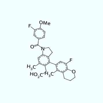 COc1ccc(C(=O)N2CCc3c2cc(C)c(CC(=O)O)c3-c2cc(F)c3c(c2C)CCCO3)cc1F